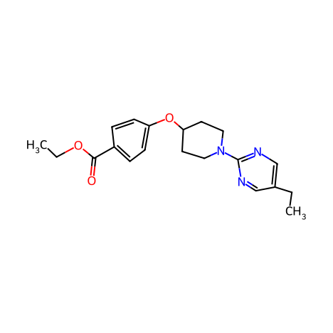 CCOC(=O)c1ccc(OC2CCN(c3ncc(CC)cn3)CC2)cc1